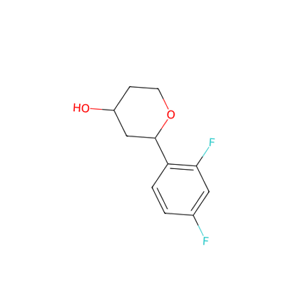 OC1CCOC(c2ccc(F)cc2F)C1